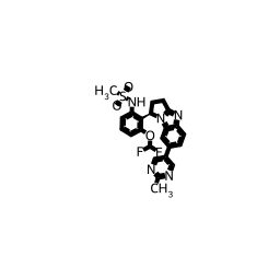 Cc1ncc(-c2ccc3nc4n(c3c2)[C@@H](c2c(NS(C)(=O)=O)cccc2OC(F)F)CC4)cn1